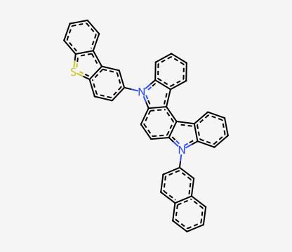 c1ccc2cc(-n3c4ccccc4c4c5c6ccccc6n(-c6ccc7sc8ccccc8c7c6)c5ccc43)ccc2c1